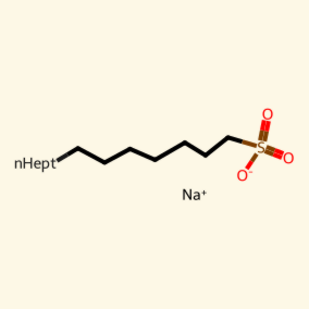 CCCCCCCCCCCCCCS(=O)(=O)[O-].[Na+]